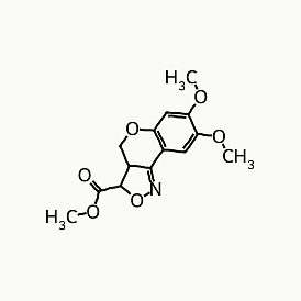 COC(=O)C1ON=C2c3cc(OC)c(OC)cc3OCC21